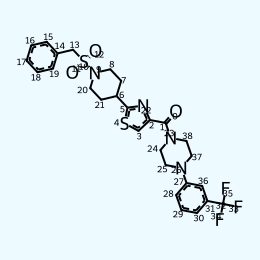 O=C(c1csc(C2CCN(S(=O)(=O)Cc3ccccc3)CC2)n1)N1CCN(c2cccc(C(F)(F)F)c2)CC1